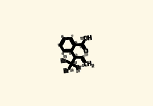 C=CC(c1ccccc1C(=O)O)C(Br)(Br)Br